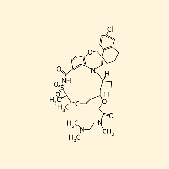 C[C@@H]1[C@@H](C)C/C=C/[C@H](OCC(=O)N(C)CCN(C)C)[C@@H]2CC[C@H]2CN2C[C@@]3(CCCc4cc(Cl)ccc43)COc3ccc(cc32)C(=O)NS1(=O)=O